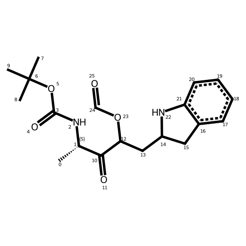 C[C@H](NC(=O)OC(C)(C)C)C(=O)C(CC1Cc2ccccc2N1)OC=O